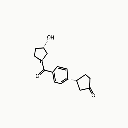 O=C1CC[C@@H](c2ccc(C(=O)N3CC[C@H](O)C3)cc2)C1